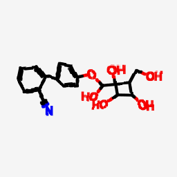 N#Cc1ccccc1-c1ccc(OC(O)C2(O)C(O)C(O)C2CO)cc1